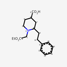 CCOC(=O)CN1CCC(C(=O)O)CC1CCc1ccccc1